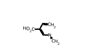 C=C/C(=C\N=C)C(=O)O